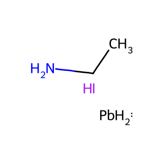 CCN.I.[PbH2]